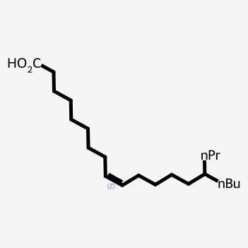 CCCCC(CCC)CCCC/C=C\CCCCCCCC(=O)O